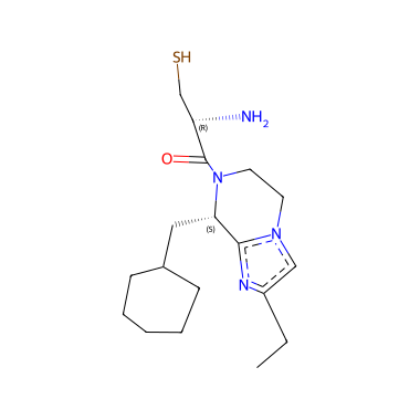 CCc1cn2c(n1)[C@H](CC1CCCCC1)N(C(=O)[C@@H](N)CS)CC2